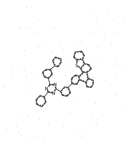 c1ccc(-c2cccc(-c3nc(-c4ccccc4)nc(-c4cccc(-c5ccc6c(c5)c5ccccc5c5ccc7c8ccccc8sc7c56)c4)n3)c2)cc1